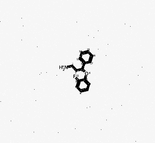 NCCC(Oc1ccccc1F)c1ccccc1